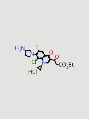 CCOC(=O)CC(=O)c1cn(C2CC2)c2c(Cl)c(N3CCC(N)C3)c(F)cc2c1=O.Cl